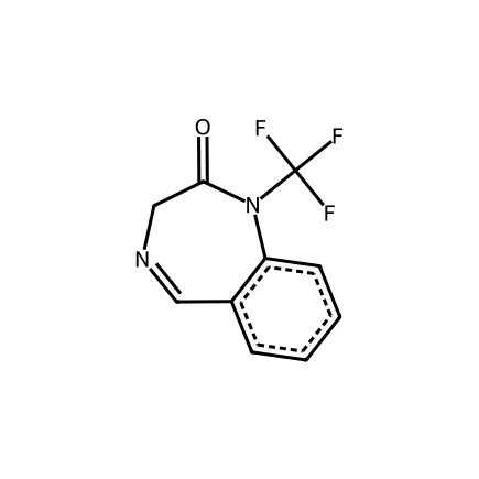 O=C1CN=Cc2ccccc2N1C(F)(F)F